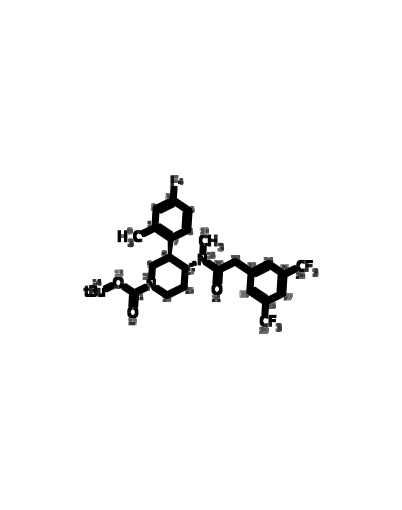 Cc1cc(F)ccc1[C@@H]1CN(C(=O)OC(C)(C)C)CC[C@H]1N(C)C(=O)Cc1cc(C(F)(F)F)cc(C(F)(F)F)c1